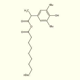 CCCCCCCCCCCCCCCCCC(=O)OC(=O)C(C)c1cc(C(C)(C)C)c(O)c(C(C)(C)C)c1